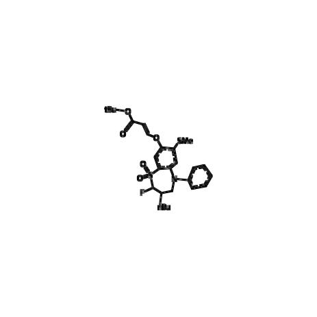 CCCCC1CN(c2ccccc2)c2cc(SC)c(O/C=C/C(=O)OC(C)(C)C)cc2S(=O)(=O)C1F